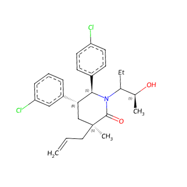 C=CC[C@@]1(C)C[C@H](c2cccc(Cl)c2)[C@@H](c2ccc(Cl)cc2)N(C(CC)[C@H](C)O)C1=O